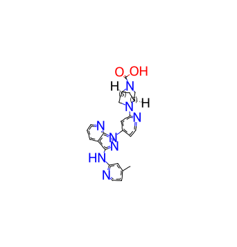 Cc1ccnc(Nc2nn(-c3ccnc(N4C[C@@H]5C[C@H]4CN5C(=O)O)c3)c3ncccc23)c1